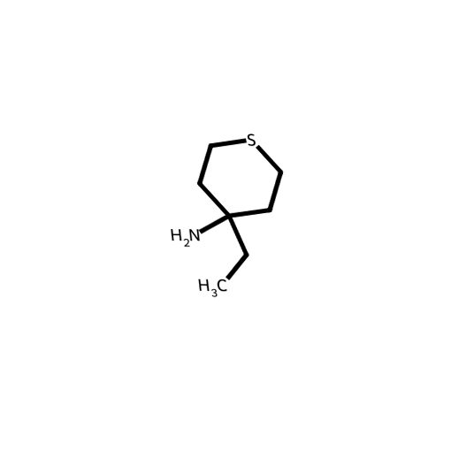 CCC1(N)CCSCC1